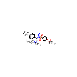 CN(C)C[C@@H](NS(=O)(=O)c1ccc(OC(F)(F)F)cc1)c1ccc(C(F)(F)F)cc1